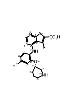 Cc1c(C(=O)O)sc2ncnc(Nc3ccc(F)cc3O[C@H]3CCCNC3)c12